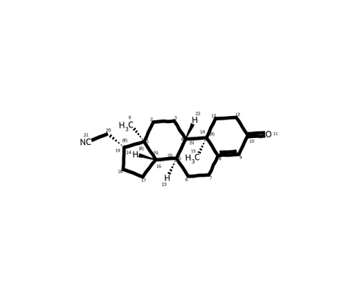 C[C@]12CC[C@H]3[C@@H](CCC4=CC(=O)CC[C@@]43C)[C@@H]1CC[C@@H]2CC#N